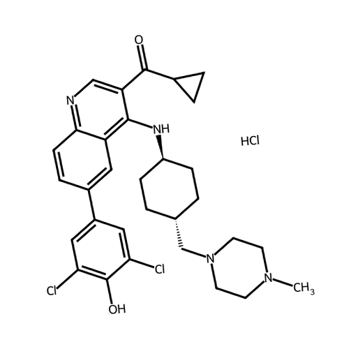 CN1CCN(C[C@H]2CC[C@H](Nc3c(C(=O)C4CC4)cnc4ccc(-c5cc(Cl)c(O)c(Cl)c5)cc34)CC2)CC1.Cl